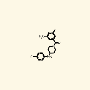 Cc1cc(C(=O)N2CCC(Nc3ccc(Cl)cc3)CC2)cc(C(F)(F)F)c1